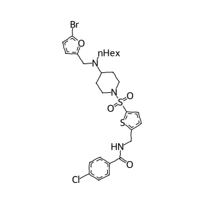 CCCCCCN(Cc1ccc(Br)o1)C1CCN(S(=O)(=O)c2ccc(CNC(=O)c3ccc(Cl)cc3)s2)CC1